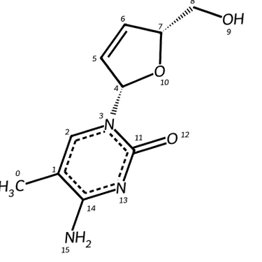 Cc1cn([C@@H]2C=C[C@H](CO)O2)c(=O)nc1N